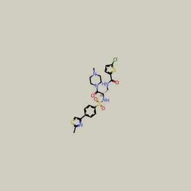 Cc1nc(-c2ccc(S(=O)(=O)N[C@@H](CNC(=O)c3ccc(Cl)s3)C(=O)N3CCN(C)CC3)cc2)cs1